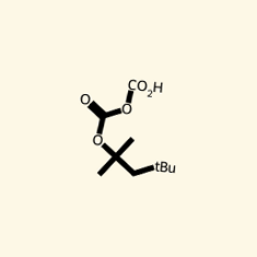 CC(C)(C)CC(C)(C)OC(=O)OC(=O)O